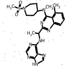 Cc1cccc2nc(C(C)Nc3ncnc4[nH]cnc34)nc(N(C)C3CCN(S(C)(=O)=O)CC3)c12